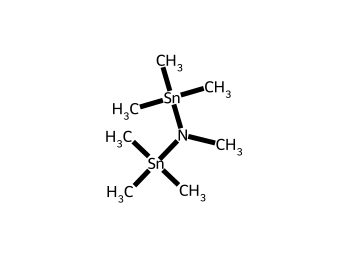 C[N]([Sn]([CH3])([CH3])[CH3])[Sn]([CH3])([CH3])[CH3]